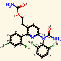 NC(=O)OCCc1ccc(N(C(N)=O)c2c(F)cccc2F)nc1-c1ccc(F)cc1F